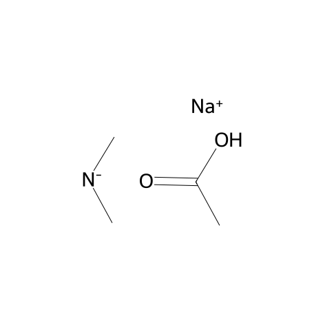 CC(=O)O.C[N-]C.[Na+]